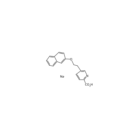 O=C(O)c1ccc(CCOc2ccc3ccccc3c2)cn1.[Na]